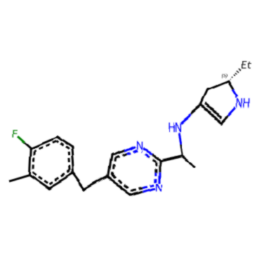 CC[C@H]1CC(NC(C)c2ncc(Cc3ccc(F)c(C)c3)cn2)=CN1